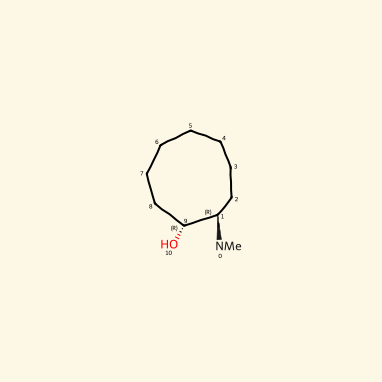 CN[C@@H]1CCCCCCC[C@H]1O